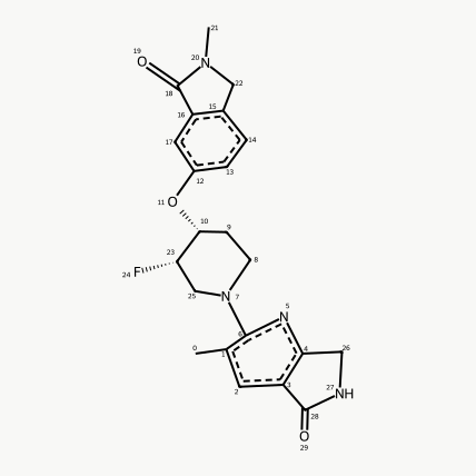 Cc1cc2c(nc1N1CC[C@@H](Oc3ccc4c(c3)C(=O)N(C)C4)[C@@H](F)C1)CNC2=O